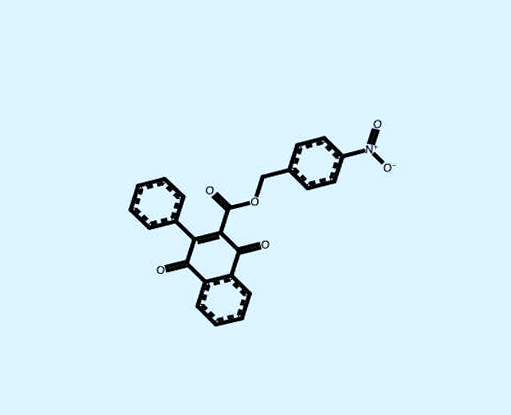 O=C(OCc1ccc([N+](=O)[O-])cc1)C1=C(c2ccccc2)C(=O)c2ccccc2C1=O